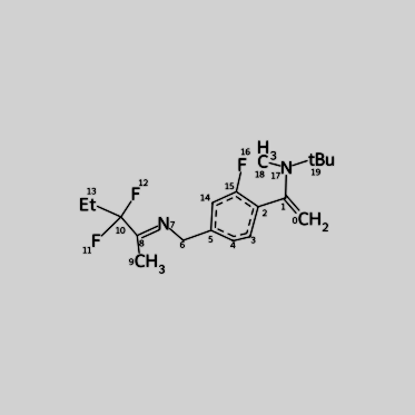 C=C(c1ccc(C/N=C(\C)C(F)(F)CC)cc1F)N(C)C(C)(C)C